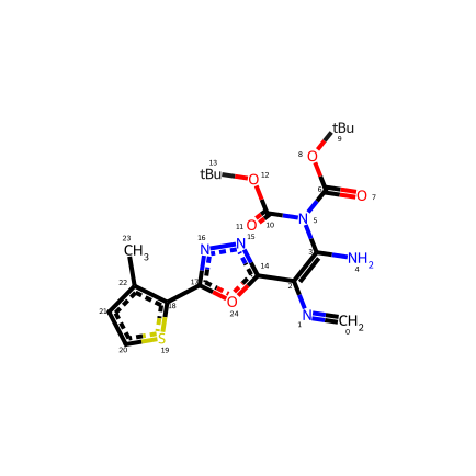 C=N/C(=C(\N)N(C(=O)OC(C)(C)C)C(=O)OC(C)(C)C)c1nnc(-c2sccc2C)o1